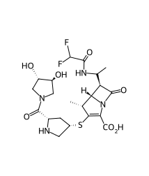 CC(NC(=O)C(F)F)[C@H]1C(=O)N2C(C(=O)O)=C(S[C@@H]3CN[C@H](C(=O)N4C[C@H](O)[C@@H](O)C4)C3)[C@H](C)[C@H]12